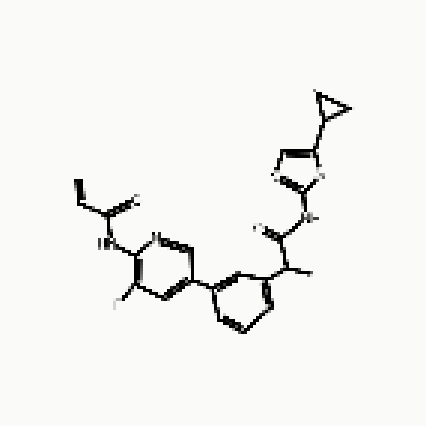 C=CC(=O)Nc1ncc(-c2cccc(C(C)C(=O)Nc3ncc(C4CC4)s3)c2)cc1F